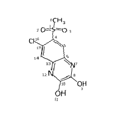 CS(=O)(=O)c1cc2nc(O)c(O)nc2cc1Cl